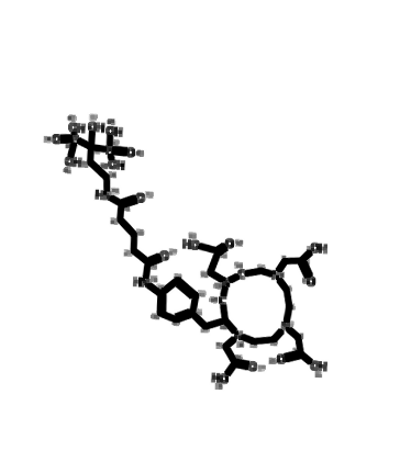 O=C(O)CN1CCN(CC(=O)O)CCN(CC(=O)O)C(Cc2ccc(NC(=O)CCCC(=O)NCCC(O)(P(=O)(O)O)P(=O)(O)O)cc2)CN(CC(=O)O)CC1